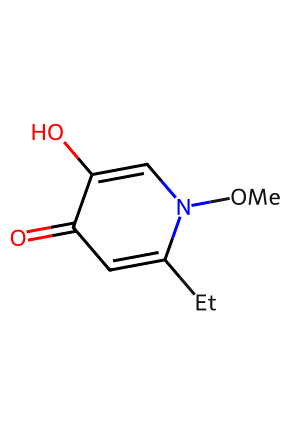 CCc1cc(=O)c(O)cn1OC